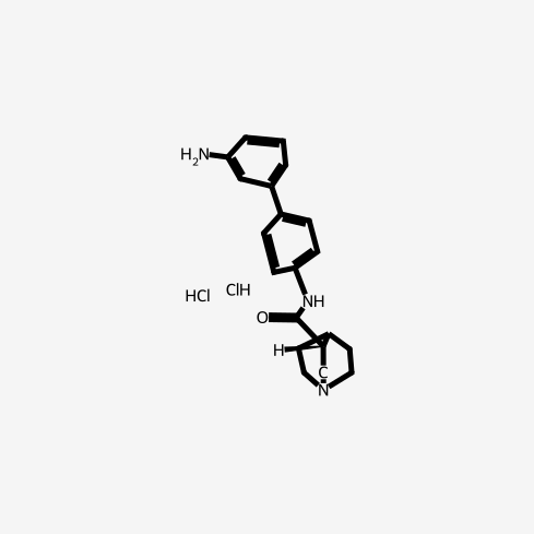 Cl.Cl.Nc1cccc(-c2ccc(NC(=O)[C@H]3CN4CCC3CC4)cc2)c1